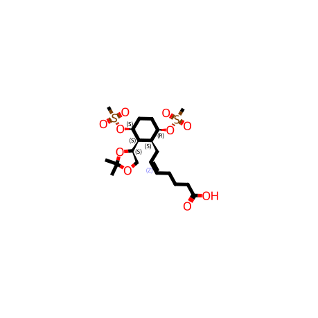 CC1(C)OC[C@H]([C@@H]2[C@H](C/C=C\CCCC(=O)O)[C@H](OS(C)(=O)=O)CC[C@@H]2OS(C)(=O)=O)O1